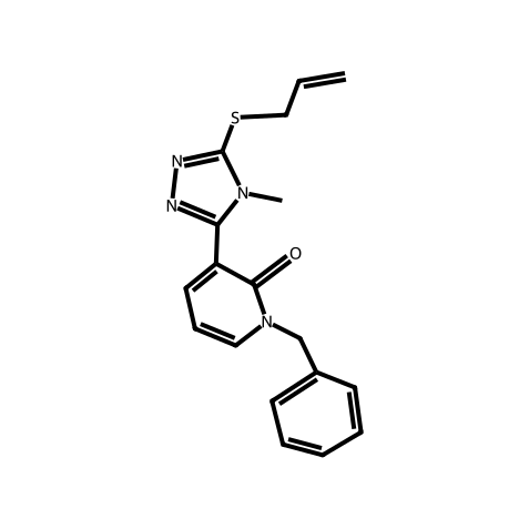 C=CCSc1nnc(-c2cccn(Cc3ccccc3)c2=O)n1C